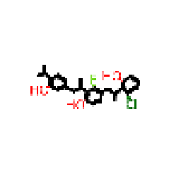 CC(C)c1ccc(CC(C)c2c(O)ccc(CC(C)c3c(O)cccc3Cl)c2F)cc1O